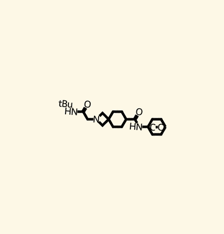 CC(C)(C)NC(=O)CN1CC2(CCC(C(=O)NC34CCC(CC3)CC4)CC2)C1